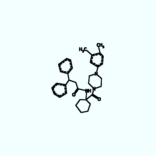 Cc1ccc(N2CCN(C(=O)C3(NC(=O)CC(c4ccccc4)c4ccccc4)CCCCC3)CC2)cc1C